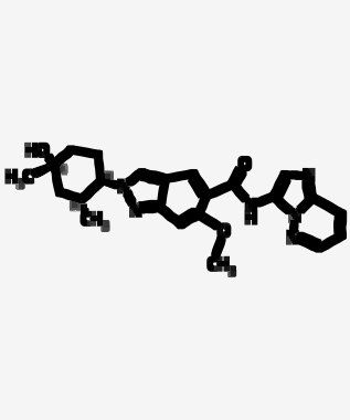 COc1cc2nn([C@@H]3CC[C@@](C)(O)C[C@H]3C)cc2cc1C(=O)Nc1cnc2cccnn12